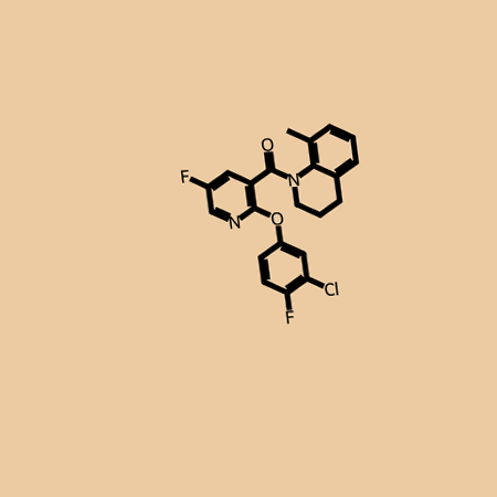 Cc1cccc2c1N(C(=O)c1cc(F)cnc1Oc1ccc(F)c(Cl)c1)CCC2